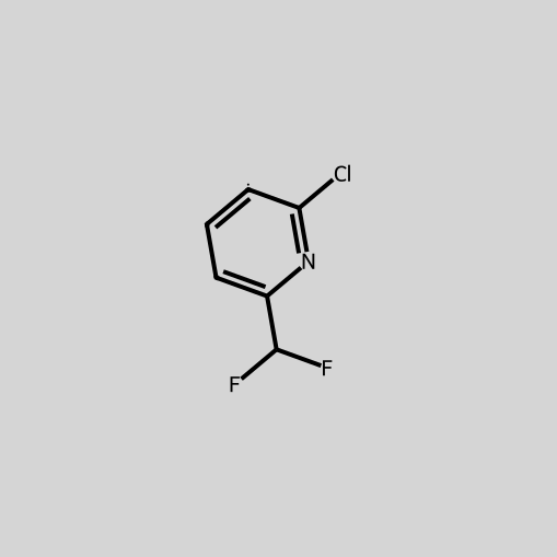 FC(F)c1cc[c]c(Cl)n1